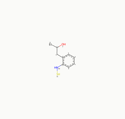 CCC(O)Cc1ccccc1NS